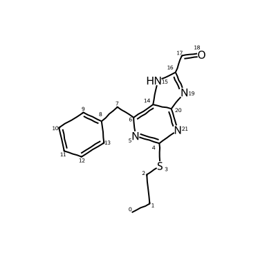 CCCSc1nc(Cc2ccccc2)c2[nH]c(C=O)nc2n1